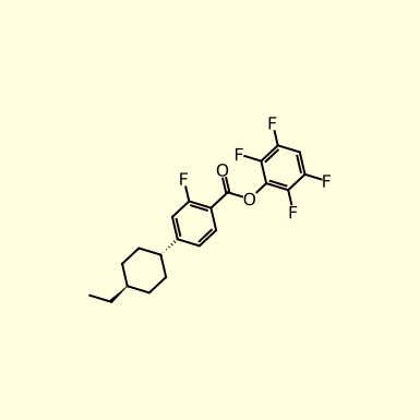 CC[C@H]1CC[C@H](c2ccc(C(=O)Oc3c(F)c(F)cc(F)c3F)c(F)c2)CC1